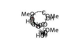 [2H]C([2H])(O)C([2H])([2H])O[C@@H]1CC[C@@H](C[C@@H](C)[C@@H]2CC(=O)[C@H](C)/C=C(\C)[C@@H](O)[C@@H](OC)C(=C)[C@H](C)C[C@H](C)/C=C/C=C/C=C(\C)[C@@H](OC)C[C@@H]3CC[C@@H](C)[C@@](O)(O3)C(=O)C(=O)N3CCCC[C@H]3C(=O)O2)C[C@H]1OC